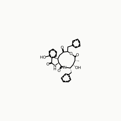 C[C@H]1CC(=O)C(Cc2ccccc2)OC(=O)[C@H](C)[C@H](O)[C@H](Cc2ccccc2)NC(=O)[C@H]1NC(=O)c1ccccc1O